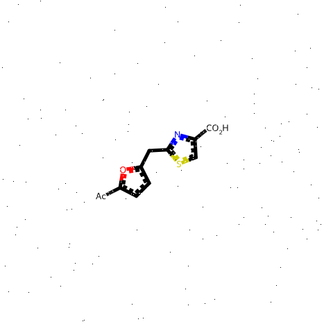 CC(=O)c1ccc(Cc2nc(C(=O)O)cs2)o1